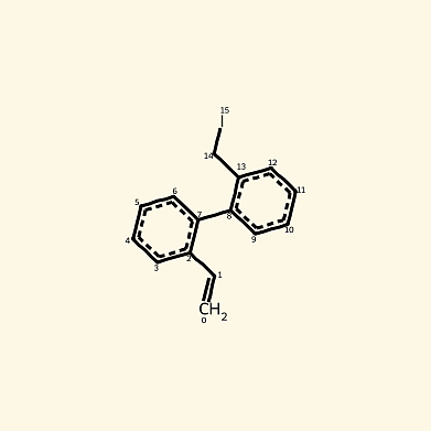 C=Cc1ccccc1-c1ccccc1CI